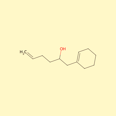 C=CCCC(O)CC1=CCCCC1